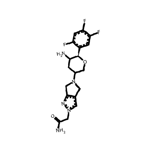 NC(=O)Cn1cc2c(n1)CN(C1CO[C@H](c3cc(F)c(F)cc3F)C(N)C1)C2